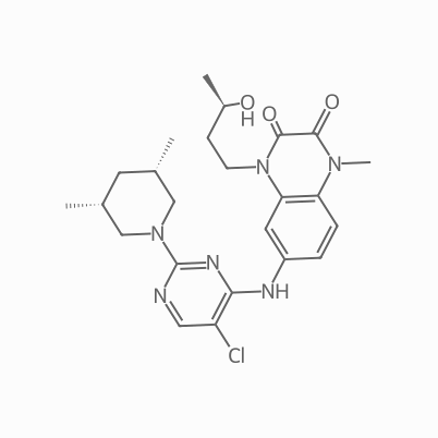 C[C@@H]1C[C@H](C)CN(c2ncc(Cl)c(Nc3ccc4c(c3)n(CC[C@@H](C)O)c(=O)c(=O)n4C)n2)C1